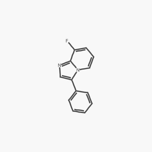 Fc1cccn2c(-c3ccccc3)cnc12